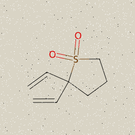 C=CC1(C=C)CCCS1(=O)=O